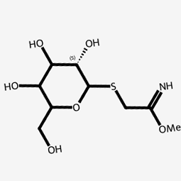 COC(=N)CSC1OC(CO)C(O)C(O)[C@@H]1O